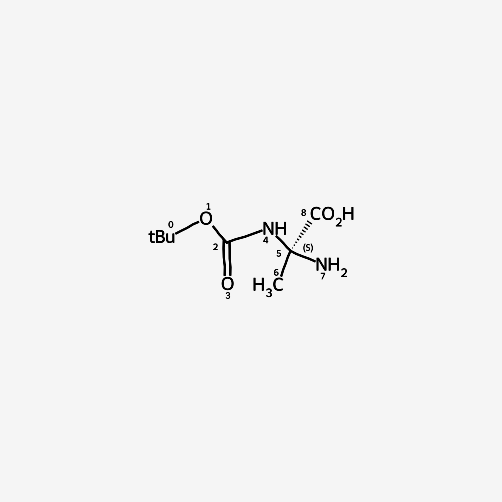 CC(C)(C)OC(=O)N[C@](C)(N)C(=O)O